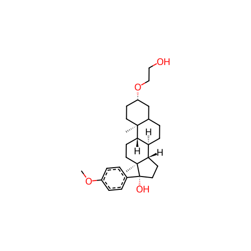 COc1ccc([C@]2(O)CC[C@H]3[C@@H]4CCC5C[C@@H](OCCO)CC[C@]5(C)[C@H]4CC[C@@]32C)cc1